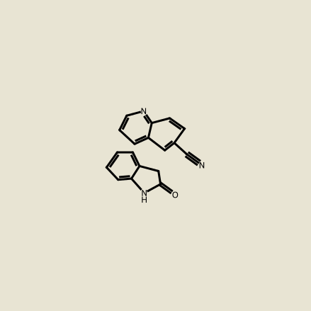 N#Cc1ccc2ncccc2c1.O=C1Cc2ccccc2N1